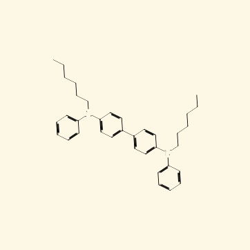 CCCCCCN(c1ccccc1)c1ccc(-c2ccc(N(CCCCCC)c3ccccc3)cc2)cc1